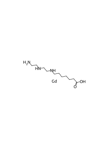 NCCNCCNCCCCCCC(=O)O.[Gd]